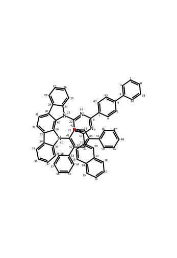 c1ccc(-c2ccc(-c3nc(-c4ccc5ccccc5c4)nc(-n4c5ccccc5c5ccc6c7ccccc7n(-c7ccc(-c8ccccc8)cc7-c7ccccc7)c6c54)n3)cc2)cc1